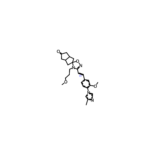 COCCCN1C(/C=C/c2ccc(-n3cnc(C)c3)c(OC)c2)=NOC12CC1CC(=O)CC1C2